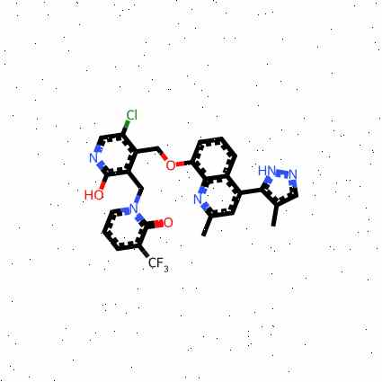 Cc1cc(-c2[nH]ncc2C)c2cccc(OCc3c(Cl)cnc(O)c3Cn3cccc(C(F)(F)F)c3=O)c2n1